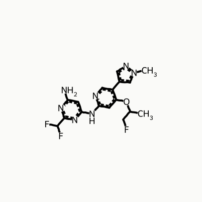 CC(CF)Oc1cc(Nc2cc(N)nc(C(F)F)n2)ncc1-c1cnn(C)c1